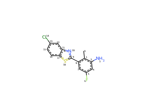 Cc1c(N)cc(F)cc1-c1nc2cc(Cl)ccc2s1